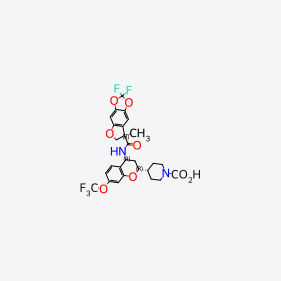 C[C@]1(C(=O)N[C@@H]2C[C@H](C3CCN(C(=O)O)CC3)Oc3cc(OC(F)(F)F)ccc32)COc2cc3c(cc21)OC(F)(F)O3